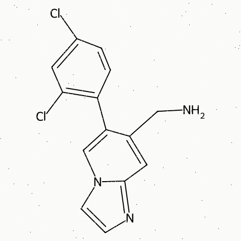 NCc1cc2nccn2cc1-c1ccc(Cl)cc1Cl